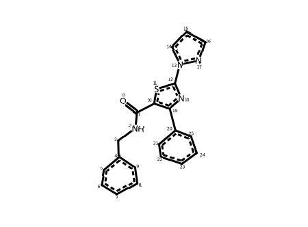 O=C(NCc1ccccc1)c1sc(-n2cccn2)nc1-c1ccccc1